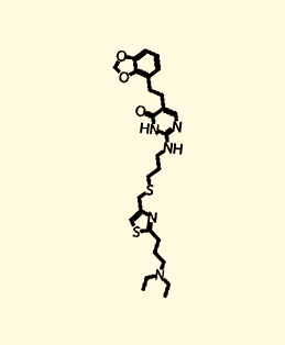 CCN(CC)CCCc1nc(CSCCCNc2ncc(CCc3cccc4c3OCO4)c(=O)[nH]2)cs1